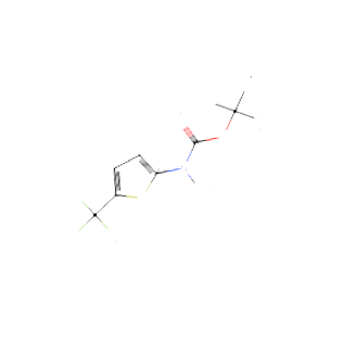 CN(C(=O)OC(C)(C)C)c1ccc(C(F)(F)F)s1